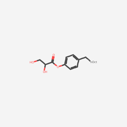 CCCCCCCCCc1ccc(OC(=O)C(O)CO)cc1